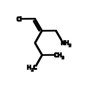 CC(C)C/C(=C\Cl)CN